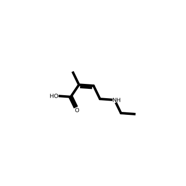 CCNCC=C(C)C(=O)O